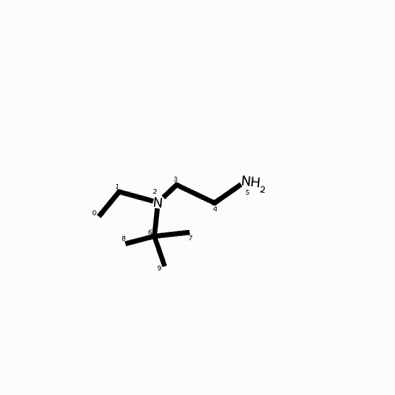 CCN(CCN)C(C)(C)C